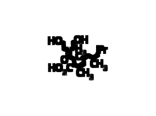 CC(=CC(C)CC(C)CC(C)C)C(CC(=O)N(CCO)CCO)C(=O)O